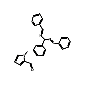 C(=NC(N=Cc1ccccc1)c1ccccc1)c1ccccc1.Cn1cccc1C=O